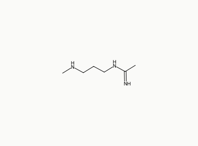 CNCCCNC(C)=N